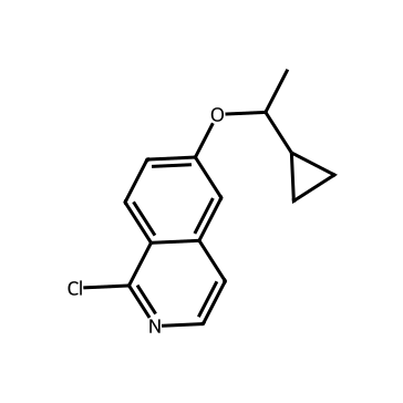 CC(Oc1ccc2c(Cl)nccc2c1)C1CC1